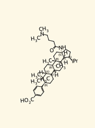 CC(C)[C@@H]1CC[C@]2(NC(=O)CCCN(C)C)CC[C@]3(C)[C@H](CC[C@@H]4[C@@]5(C)CC[C@@H](c6ccc(C(=O)O)cc6)C(C)(C)[C@@H]5CC[C@]43C)[C@@H]12